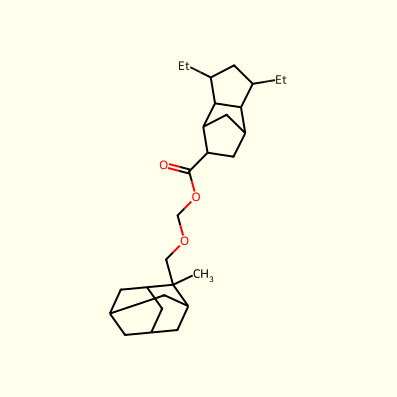 CCC1CC(CC)C2C3CC(CC3C(=O)OCOCC3(C)C4CC5CC(C4)CC3C5)C12